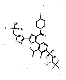 C[C@H](NS(=O)(=O)c1ccc(-c2sc(-c3noc(CC(C)(C)O)n3)nc2C(=O)N2CCC(F)CC2)c(C(F)F)c1F)C(F)(F)F